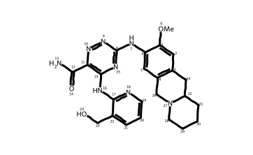 COc1cc2c(cc1Nc1nnc(C(N)=O)c(Nc3ncccc3CO)n1)CN1CCCCC1C2